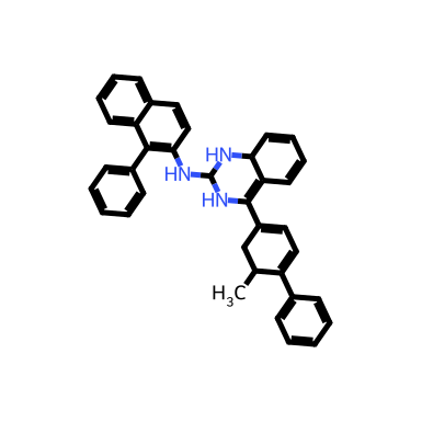 CC1CC(C2=C3C=CC=CC3NC(Nc3ccc4ccccc4c3-c3ccccc3)N2)=CC=C1c1ccccc1